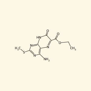 CCOC(=O)c1nc2c(N)nc(SC)nc2[nH]c1=O